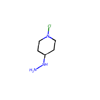 NNC1CCN(Cl)CC1